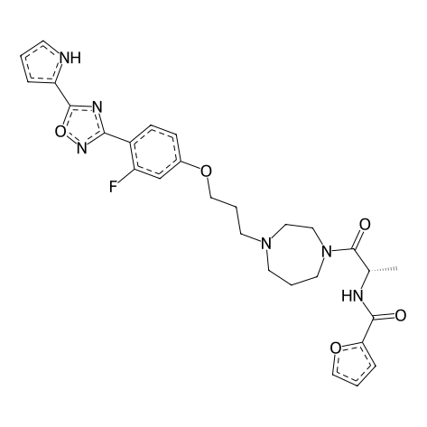 C[C@H](NC(=O)c1ccco1)C(=O)N1CCCN(CCCOc2ccc(-c3noc(-c4ccc[nH]4)n3)c(F)c2)CC1